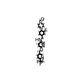 O=CN1CCN(c2ccc(CNc3ccc(OCc4ccc(C(F)(F)F)nc4)nn3)cc2F)CC1